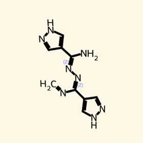 C=N/C(=N\N=C(/N)c1cn[nH]c1)c1cn[nH]c1